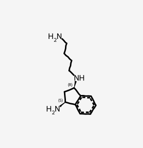 NCCCCN[C@@H]1C[C@H](N)c2ccccc21